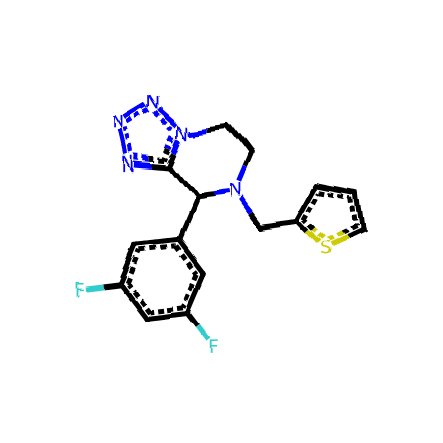 Fc1cc(F)cc(C2c3nnnn3CCN2Cc2cccs2)c1